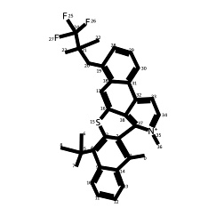 Cc1c2c(c(C(C)(C)C)c3ccccc13)Sc1cc3c(CC(C)(C)C(F)(F)F)cccc3c3cc[n+](C)c-2c13